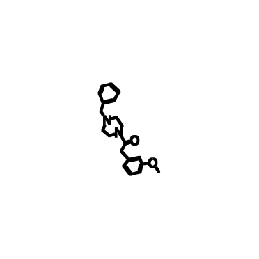 COc1cccc(CC(=O)N2CCN(Cc3ccccc3)CC2)c1